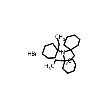 Br.CCC1(N(C2(CC)CCCCC2)C2(CC)CCCCC2)CCCCC1